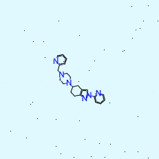 c1ccc(CN2CCN(C3CCc4nn(-c5ccccn5)cc4C3)CC2)nc1